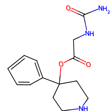 NC(=O)NCC(=O)OC1(c2ccccc2)CCNCC1